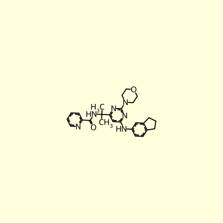 CC(C)(NC(=O)c1ccccn1)c1cc(Nc2ccc3c(c2)CCC3)nc(N2CCOCC2)n1